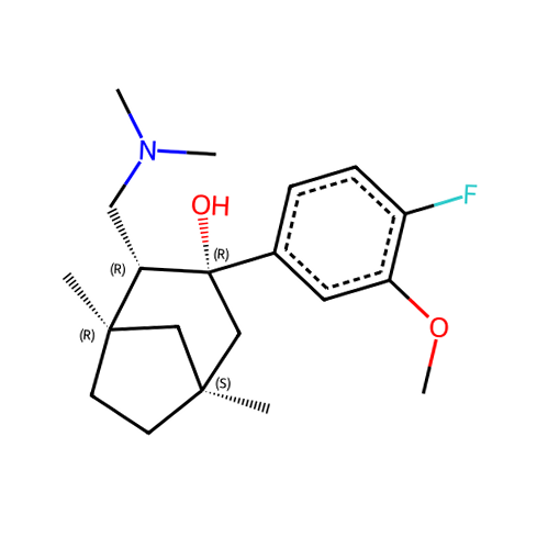 COc1cc([C@@]2(O)C[C@@]3(C)CC[C@](C)(C3)[C@@H]2CN(C)C)ccc1F